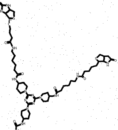 CC(=O)NC1CCN(c2nc(N3CCC(NC(=O)CCCCCNC(=O)CCCCC4SCC5CC(=O)NC54)CC3)nc(N3CCC(NC(=O)CCCCCNC(=O)CCCC[C@@H]4SCC5NC(=O)NC54)CC3)n2)CC1